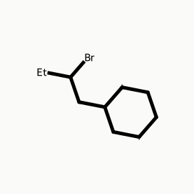 CCC(Br)CC1[CH]CC[CH]C1